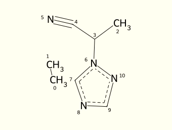 CC.CC(C#N)n1cncn1